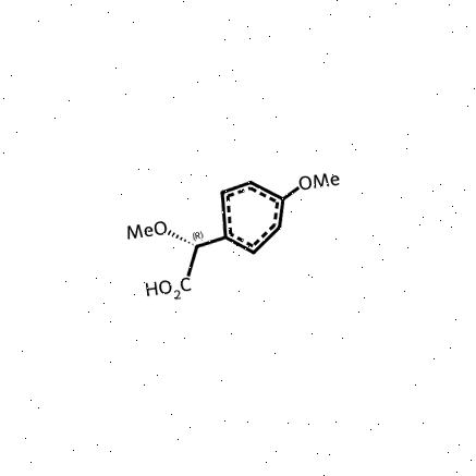 COc1ccc([C@@H](OC)C(=O)O)cc1